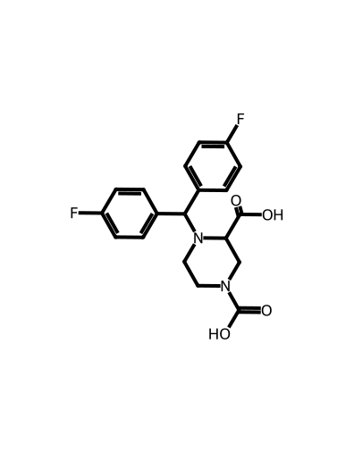 O=C(O)C1CN(C(=O)O)CCN1C(c1ccc(F)cc1)c1ccc(F)cc1